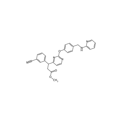 COC(=O)CC(c1cccc(C#N)c1)c1ccnc(Oc2ccc(CNc3ccccn3)cc2)n1